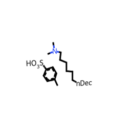 CCCCCCCCCCCCCCCCN(C)C.Cc1ccc(S(=O)(=O)O)cc1